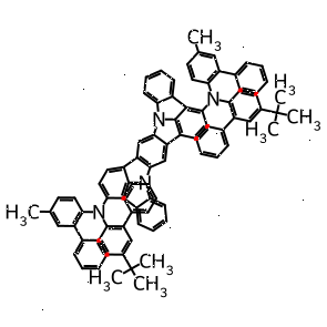 Cc1ccc(N(c2ccc(C(C)(C)C)cc2-c2ccccc2)c2ccc3c4cc5c(cc4n4c6ccccc6c2c34)c2ccc(N(c3ccc(C)cc3-c3ccccc3)c3ccc(C(C)(C)C)cc3-c3ccccc3)c3c4ccccc4n5c23)c(-c2ccccc2)c1